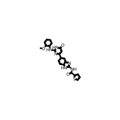 COc1ccccc1Nc1nc(-c2ccc3[nH]c(NC(=O)c4cccs4)nc3c2)cc(=O)[nH]1